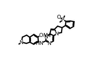 COc1cc2c(cc1Nc1ncc3c(cc4n3CC(c3ccccc3P(C)(C)=O)C4)n1)CN(C)CC2